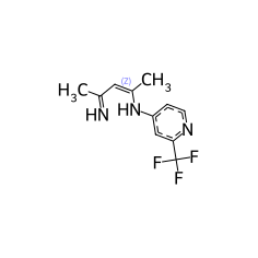 CC(=N)/C=C(/C)Nc1ccnc(C(F)(F)F)c1